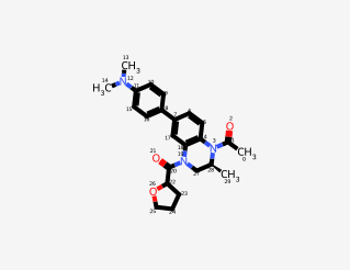 CC(=O)N1c2ccc(-c3ccc(N(C)C)cc3)cc2N(C(=O)C2CCCO2)C[C@@H]1C